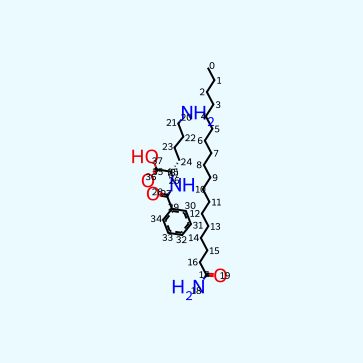 CCCCCCCCCCCCCCCCCC(N)=O.NCCCC[C@H](NC(=O)c1ccccc1)C(=O)O